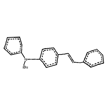 CCC(C)N(c1ccccc1)c1ccc(/C=C/c2ccccc2)cc1